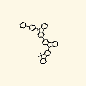 CC1(C)c2ccccc2-c2ccc(-n3c4ccccc4c4cc(-c5ccc6c(c5)c5ccccc5n6-c5ccc(-c6ccccc6)cc5)ccc43)cc21